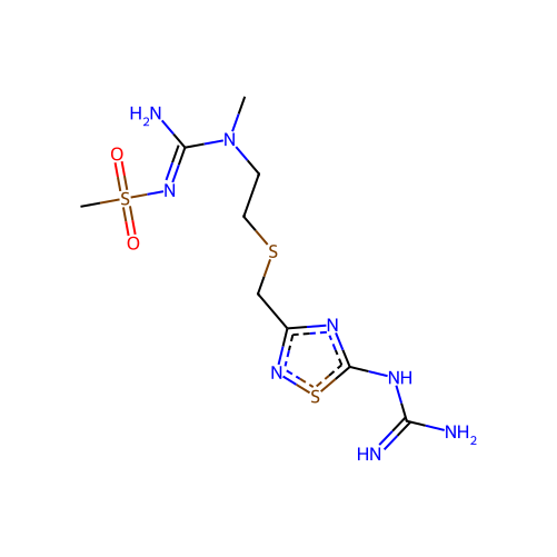 CN(CCSCc1nsc(NC(=N)N)n1)C(N)=NS(C)(=O)=O